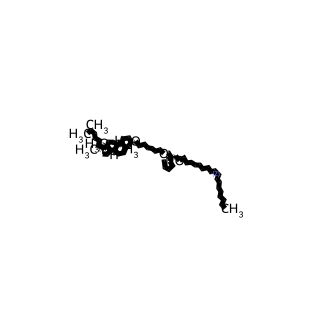 CCCCCCCC/C=C\CCCCCCCCOC[C@H](COCCCCCCO[C@H]1CC[C@@]2(C)C(=CC[C@H]3[C@@H]4CC[C@H]([C@H](C)CCCC(C)C)[C@@]4(C)CC[C@@H]32)C1)N1CCCC1